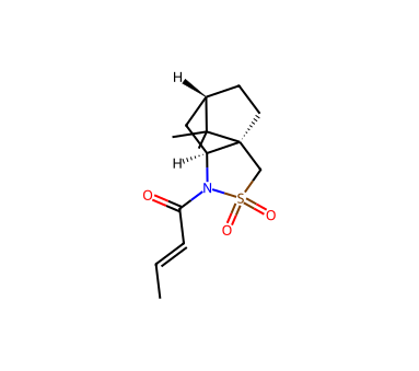 C/C=C/C(=O)N1[C@H]2C[C@@H]3CC[C@@]2(CS1(=O)=O)C3(C)C